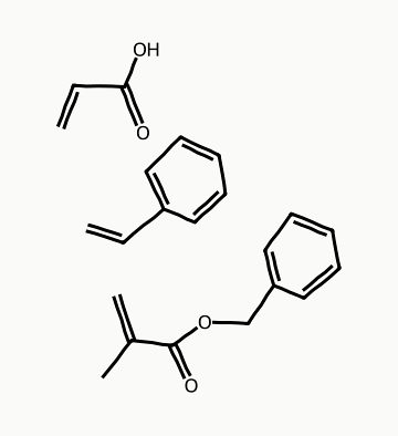 C=C(C)C(=O)OCc1ccccc1.C=CC(=O)O.C=Cc1ccccc1